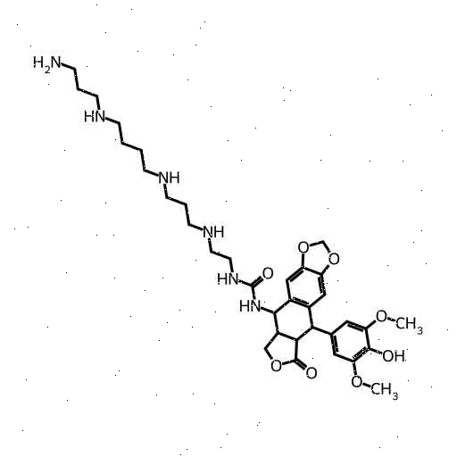 COc1cc(C2c3cc4c(cc3C(NC(=O)NCCNCCCNCCCCNCCCN)C3COC(=O)C23)OCO4)cc(OC)c1O